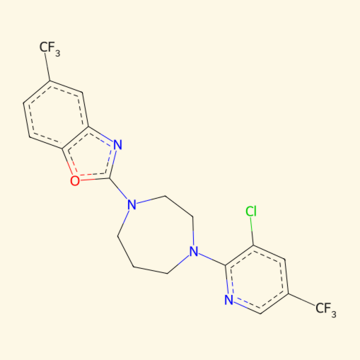 FC(F)(F)c1cnc(N2CCCN(c3nc4cc(C(F)(F)F)ccc4o3)CC2)c(Cl)c1